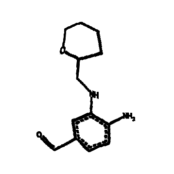 Nc1ccc(C=O)cc1NCC1CCCCO1